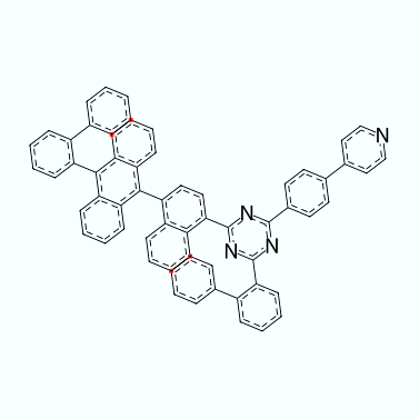 c1ccc(-c2ccccc2-c2nc(-c3ccc(-c4ccncc4)cc3)nc(-c3ccc(-c4c5ccccc5c(-c5ccccc5-c5ccccc5)c5ccccc45)c4ccccc34)n2)cc1